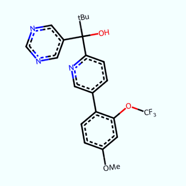 COc1ccc(-c2ccc(C(O)(c3cncnc3)C(C)(C)C)nc2)c(OC(F)(F)F)c1